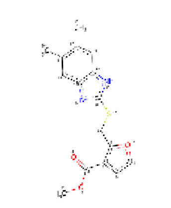 COC(=O)c1ccoc1CSc1nc2cc(C)c(C)cc2[nH]1